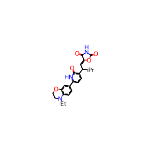 CCN1CCOc2cc(-c3ccc(C(/C=C4\OC(=O)NC4=O)C(C)C)c(=O)[nH]3)ccc21